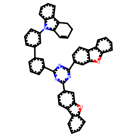 C1=Cc2c(c3ccccc3n2-c2cccc(-c3cccc(-c4nc(-c5ccc6c(c5)oc5ccccc56)nc(-c5ccc6c(c5)oc5ccccc56)n4)c3)c2)CC1